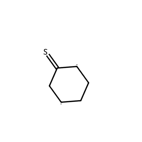 S=C1[CH]CC[CH]C1